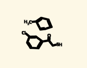 Cc1ccccc1.O=C(CS)c1cccc(Cl)c1